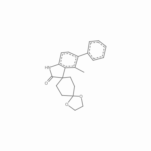 Cc1c(-c2ccccc2)ccc2c1C1(CCC3(CC1)OCCO3)C(=O)N2